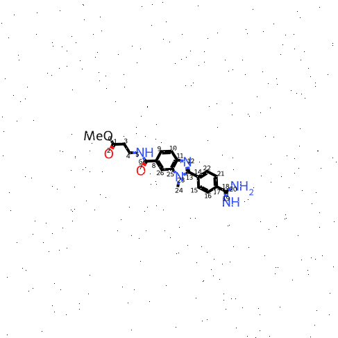 COC(=O)CCNC(=O)c1ccc2nc(-c3ccc(C(=N)N)cc3)n(C)c2c1